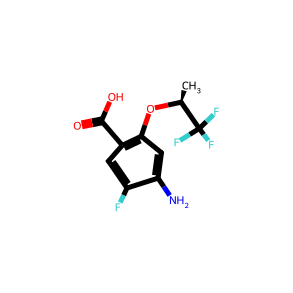 C[C@H](Oc1cc(N)c(F)cc1C(=O)O)C(F)(F)F